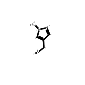 CC(C)(C)n1cc(CO)cn1